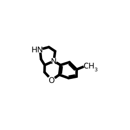 Cc1ccc2c(c1)N1CCNCC1CO2